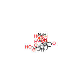 CC(=O)OC1=CC(=O)C=C2CC[C@@H]3[C@H]([C@@H](O)C[C@@]4(C)[C@H]3CC[C@]4(O)C(=O)CO)[C@]21C.O=P(O)(O)O.[NaH]